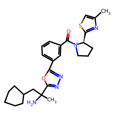 Cc1csc([C@H]2CCCN2C(=O)c2cccc(-c3nnc(C(C)(N)CC4CCCCC4)o3)c2)n1